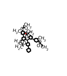 C=CC(=O)Oc1ccc(-c2cc(C)c(OC(=O)C=C)c(C(c3ccc(-c4ccccc4)cc3)c3cc(-c4ccc(OC(=O)C=C)c(C)c4)cc(C)c3OC(=O)C=C)c2)cc1C